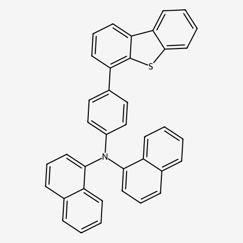 c1ccc2c(N(c3ccc(-c4cccc5c4sc4ccccc45)cc3)c3cccc4ccccc34)cccc2c1